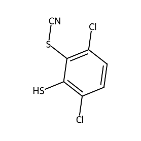 N#CSc1c(Cl)ccc(Cl)c1S